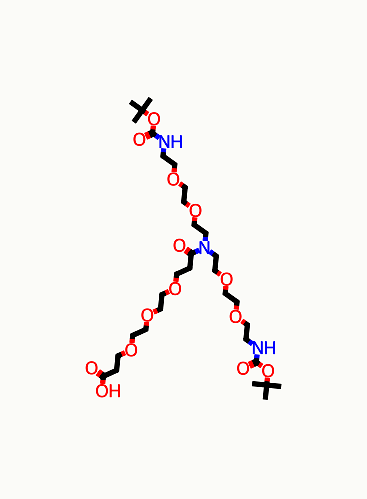 CC(C)(C)OC(=O)NCCOCCOCCN(CCOCCOCCNC(=O)OC(C)(C)C)C(=O)CCOCCOCCOCCC(=O)O